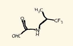 CC(NC(=O)C=O)C(F)(F)F